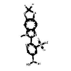 CCS(=O)(=O)c1cc(B(O)O)cnc1-c1nc2cc3c(cc2n1C)OC(F)(F)O3